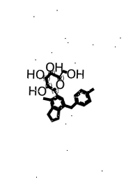 Cc1ccc(Cc2cc([C@@H]3O[C@H](CO)[C@H](O)[C@H](O)[C@@H]3O)c(C)c3c2CCC3)cc1